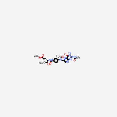 CCCCOC(=O)CC[C@H](NC(=O)c1ccc(N(Cc2cnc3nc(NC(=O)C(C)C)[nH]c(=O)c3n2)C(=O)C(F)(F)F)cc1)C(=O)OC